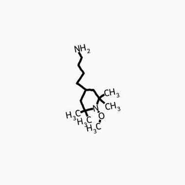 CON1C(C)(C)CC(CCCCN)CC1(C)C